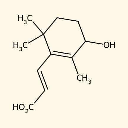 CC1=C(/C=C/C(=O)O)C(C)(C)CCC1O